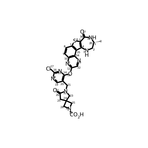 C[C@@H]1CNc2c(sc3ccc4nc(Oc5nc(Cl)ncc5CN5CC6(CC5=O)CN(C(=O)O)C6)cnc4c23)C(=O)N1